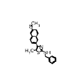 COc1ccc2cc(-c3nc(NCc4ccccc4)sc3C)ccc2c1